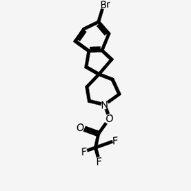 O=C(ON1CCC2(CC1)Cc1ccc(Br)cc1C2)C(F)(F)F